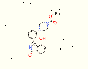 CC(C)(C)OC(=O)N1CCN(c2cccc([Se]3=NC(=O)c4ccccc43)c2O)CC1